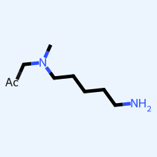 CC(=O)CN(C)CCCCCN